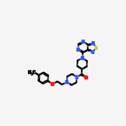 Cc1ccc(OCCN2CCN(C(=O)C3CCN(c4ncnc5nsnc45)CC3)CC2)cc1